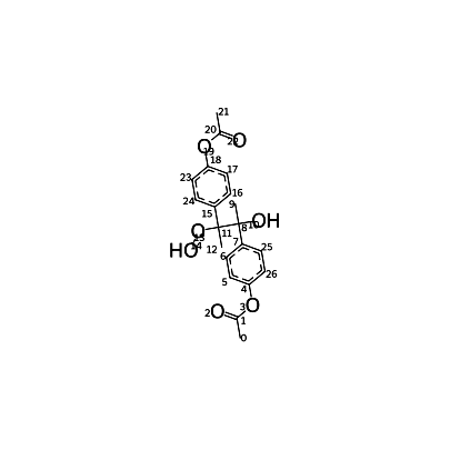 CC(=O)Oc1ccc(C(C)(O)C(C)(OO)c2ccc(OC(C)=O)cc2)cc1